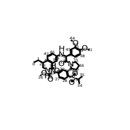 CCC1CNC(=O)c2cc(NC(C(=O)N3CCC[C@@H]3c3cc(NC(=O)OC)ccc3S(=O)(=O)C(C)C)c3ccc(OC)c(OC)c3)ccc21